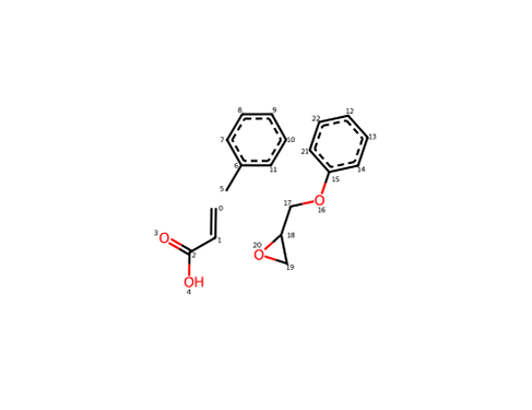 C=CC(=O)O.Cc1ccccc1.c1ccc(OCC2CO2)cc1